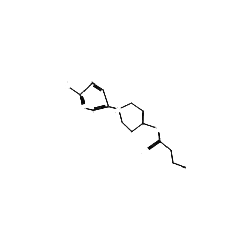 CCCC(=O)OC1CCN(c2ccc(Cl)nc2)CC1